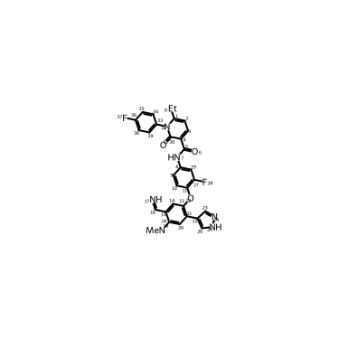 CCc1ccc(C(=O)Nc2ccc(Oc3cc(C=N)c(NC)cc3-c3cn[nH]c3)c(F)c2)c(=O)n1-c1ccc(F)cc1